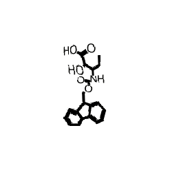 CCC(NC(=O)OCC1c2ccccc2-c2ccccc21)C(O)C(=O)O